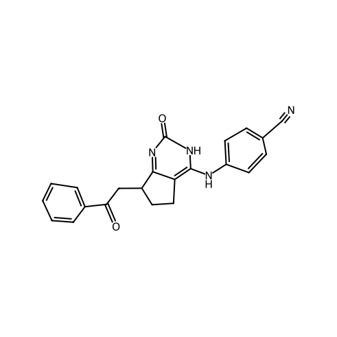 N#Cc1ccc(Nc2[nH]c(=O)nc3c2CCC3CC(=O)c2ccccc2)cc1